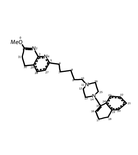 COC1=Nc2nc(CCCCCN3CCN(C4=CCCc5ccccc54)CC3)ccc2CC1